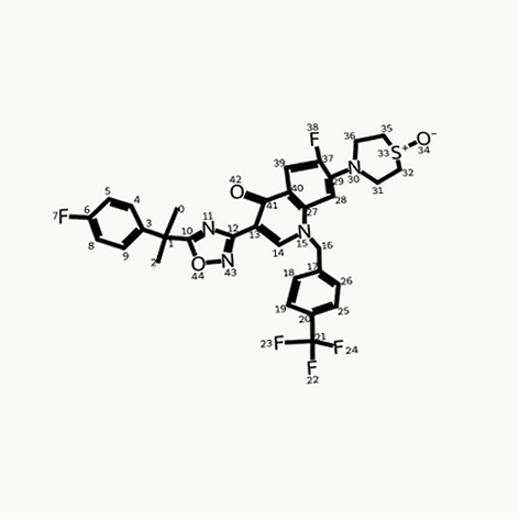 CC(C)(c1ccc(F)cc1)c1nc(-c2cn(Cc3ccc(C(F)(F)F)cc3)c3cc(N4CC[S+]([O-])CC4)c(F)cc3c2=O)no1